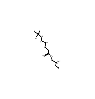 CCC(O)COC(=O)CCCCCC(C)(C)C